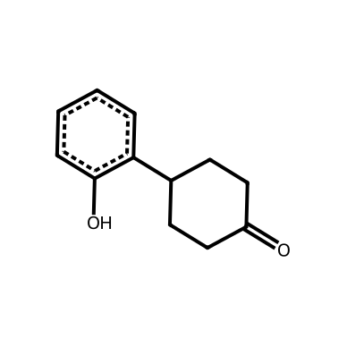 O=C1CCC(c2ccccc2O)CC1